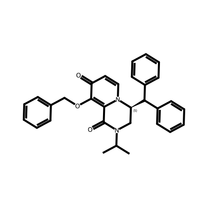 CC(C)N1C[C@H](C(c2ccccc2)c2ccccc2)n2ccc(=O)c(OCc3ccccc3)c2C1=O